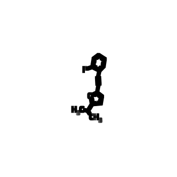 CC(C)c1ccc(C#Cc2ccccc2F)o1